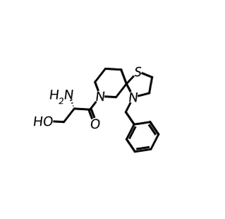 N[C@@H](CO)C(=O)N1CCCC2(C1)SCCN2Cc1ccccc1